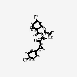 CCN(C)c1nc2cc(F)cc(F)c2c(=O)n1NC(=O)C1CC1c1ccc(Cl)cc1